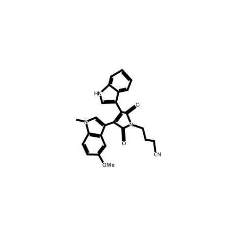 COc1ccc2c(c1)c(C1=C(c3c[nH]c4ccccc34)C(=O)N(CCCC#N)C1=O)cn2C